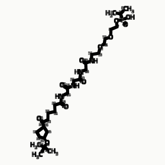 CC(C)P(=O)(O)OCCOCCOCCNC(=O)CNC(=O)CNC(=O)CNC(=O)CCCCC(=O)C1CC[C@H](OC(C)(C)C)C1